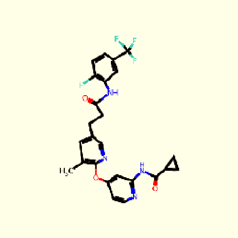 Cc1cc(CCC(=O)Nc2cc(C(F)(F)F)ccc2F)cnc1Oc1ccnc(NC(=O)C2CC2)c1